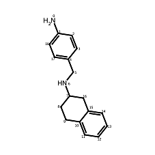 Nc1ccc(CNC2CCc3ccccc3C2)cc1